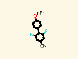 CCCOc1ccc(-c2c(F)cc(C#N)cc2F)cc1